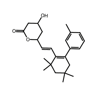 Cc1cccc(C2=C(C=CC3CC(O)CC(=O)O3)C(C)(C)CC(C)(C)C2)c1